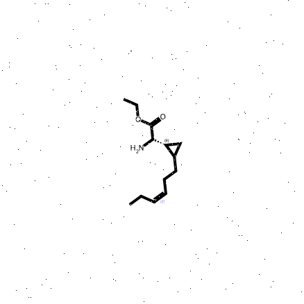 CC/C=C\CCC1C[C@H]1C(N)C(=O)OCC